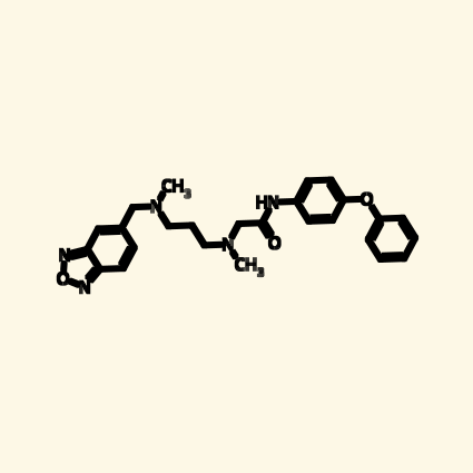 CN(CCCN(C)Cc1ccc2nonc2c1)CC(=O)Nc1ccc(Oc2ccccc2)cc1